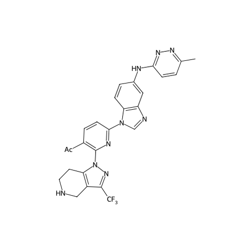 CC(=O)c1ccc(-n2cnc3cc(Nc4ccc(C)nn4)ccc32)nc1-n1nc(C(F)(F)F)c2c1CCNC2